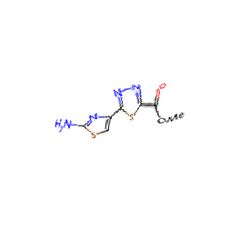 COC(=O)c1nnc(-c2csc(N)n2)s1